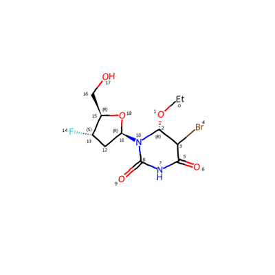 CCO[C@@H]1C(Br)C(=O)NC(=O)N1[C@H]1C[C@H](F)[C@@H](CO)O1